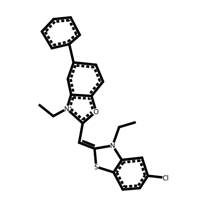 CCN1C(=Cc2oc3ccc(-c4ccccc4)cc3[n+]2CC)Sc2ccc(Cl)cc21